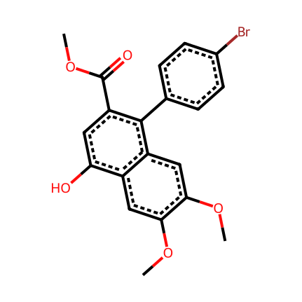 COC(=O)c1cc(O)c2cc(OC)c(OC)cc2c1-c1ccc(Br)cc1